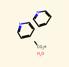 CC(=O)O.O.c1ccncc1.c1ccncc1